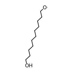 [O]CCCCCCCCCCCO